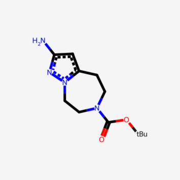 CC(C)(C)OC(=O)N1CCc2cc(N)nn2CC1